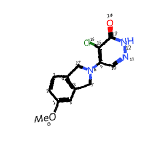 COc1ccc2c(c1)CN(c1cn[nH]c(=O)c1Cl)C2